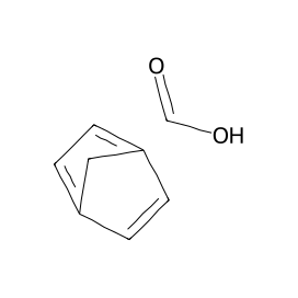 C1=CC2=CC=C1C2.O=CO